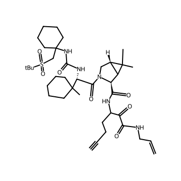 C#CCCC(NC(=O)[C@@H]1C2[C@H](CN1C(=O)[C@@H](NC(=O)NC1(CS(=O)(=O)C(C)(C)C)CCCCC1)C1(C)CCCCC1)C2(C)C)C(=O)C(=O)NCC=C